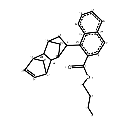 CCCCOC(=O)c1ccc2ccccc2c1C1CC2CC1C1C3C=CC(C3)C21